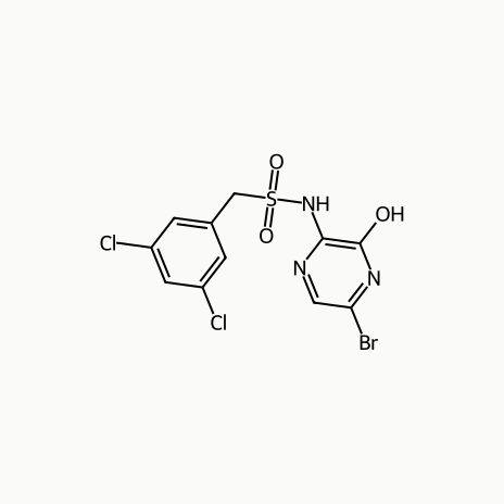 O=S(=O)(Cc1cc(Cl)cc(Cl)c1)Nc1ncc(Br)nc1O